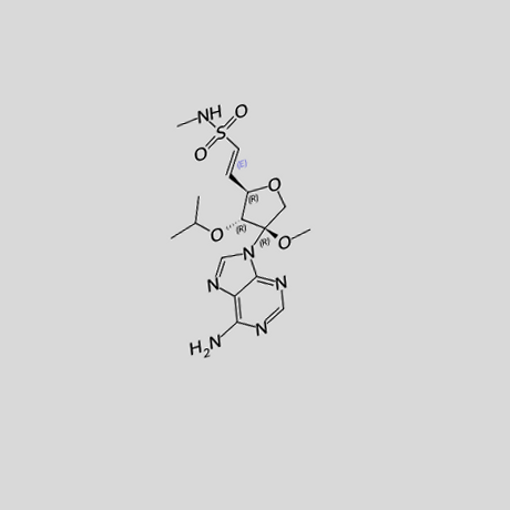 CNS(=O)(=O)/C=C/[C@H]1OC[C@](OC)(n2cnc3c(N)ncnc32)[C@@H]1OC(C)C